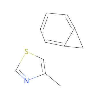 Cc1cscn1.c1ccc2c(c1)C2